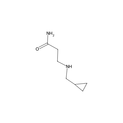 NC(=O)CCNCC1CC1